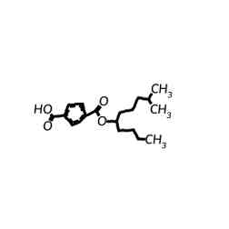 CCCCC(CCCC(C)C)OC(=O)c1ccc(C(=O)O)cc1